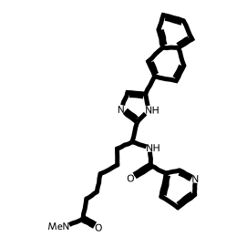 CNC(=O)CCCCCC(NC(=O)c1cccnc1)c1ncc(-c2ccc3ccccc3c2)[nH]1